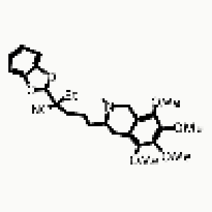 CCC(C#N)(CCCC1Cc2c(c(OC)c(OC)c(OC)c2OC)CN1C)C1Oc2ccccc2O1